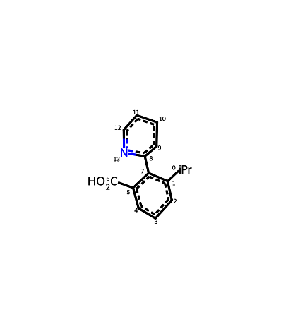 CC(C)c1cccc(C(=O)O)c1-c1ccccn1